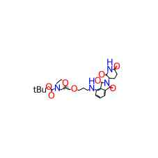 CC(C)(C)OC(=O)N1CCO[C@@H](COCCCNc2cccc3c2C(=O)N(C2CCC(=O)NC2=O)C3=O)C1